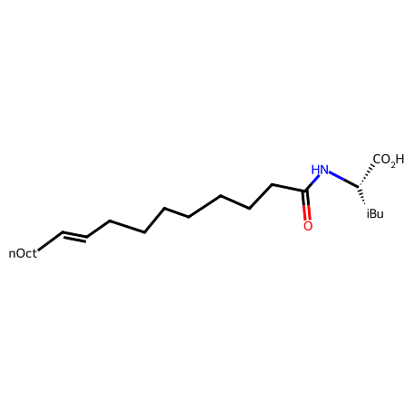 CCCCCCCCC=CCCCCCCCC(=O)N[C@H](C(=O)O)[C@@H](C)CC